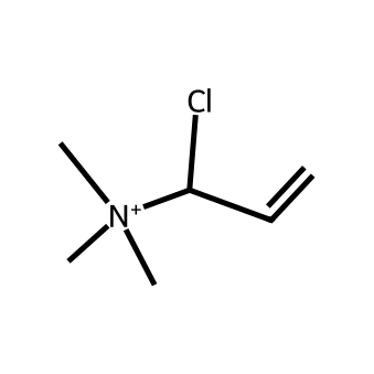 C=CC(Cl)[N+](C)(C)C